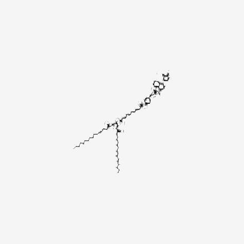 CCCCCCCCCCCCCCCC(=O)OCC(COC(=O)CCCCCCCCCCCCCCC)OC(=O)CCCCCCCCC(=O)Oc1ccc(COC(=O)N(C)[C@H]2CC[C@@H](c3ccc(Cl)c(Cl)c3)c3ccccc32)cc1